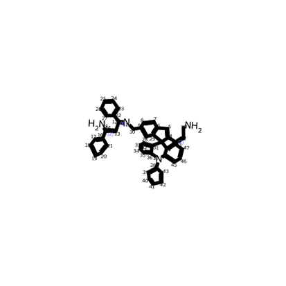 NC/C=C\C1=Cc2ccc(C/N=C(\C=C(/N)c3ccccc3)c3ccccc3)cc2C12c1ccccc1N(c1ccccc1)c1ccccc12